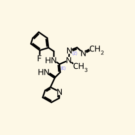 C=N/C=N\N(C)/C(=C/C(=N)c1ccccn1)NCc1ccccc1F